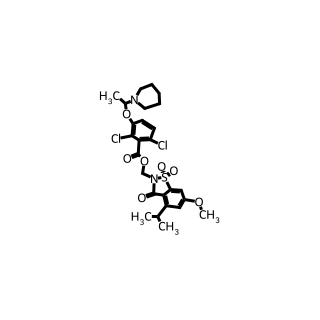 COc1cc(C(C)C)c2c(c1)S(=O)(=O)N(COC(=O)c1c(Cl)ccc(OC(C)N3CCCCC3)c1Cl)C2=O